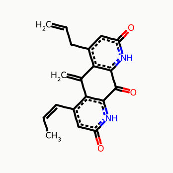 C=CCc1cc(=O)[nH]c2c1C(=C)c1c(/C=C\C)cc(=O)[nH]c1C2=O